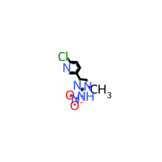 CN1CC(c2ccc(Cl)nc2)N=C1N[N+](=O)[O-]